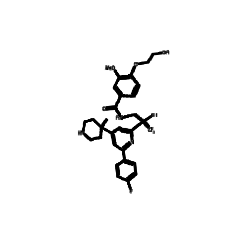 COc1cc(C(=O)NCC(O)(c2cc(C3(C)CCNCC3)cc(-c3ccc(F)cc3)n2)C(F)(F)F)ccc1OCCO